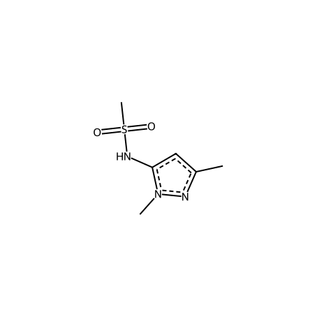 Cc1cc(NS(C)(=O)=O)n(C)n1